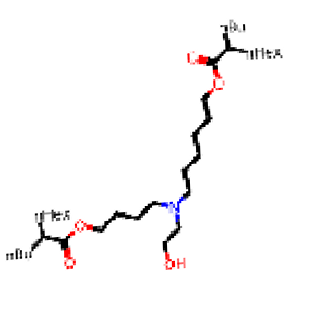 CCCCCCC(CCCC)C(=O)OCCCCCCN(CCO)CCCCOC(=O)C(CCCC)CCCCCC